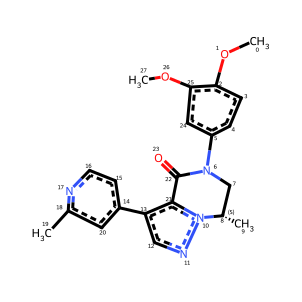 COc1ccc(N2C[C@H](C)n3ncc(-c4ccnc(C)c4)c3C2=O)cc1OC